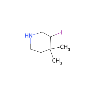 CC1(C)CCNCC1I